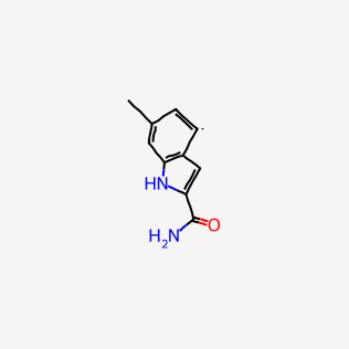 Cc1c[c]c2cc(C(N)=O)[nH]c2c1